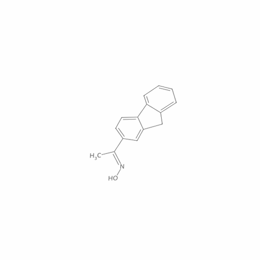 CC(=NO)c1ccc2c(c1)Cc1ccccc1-2